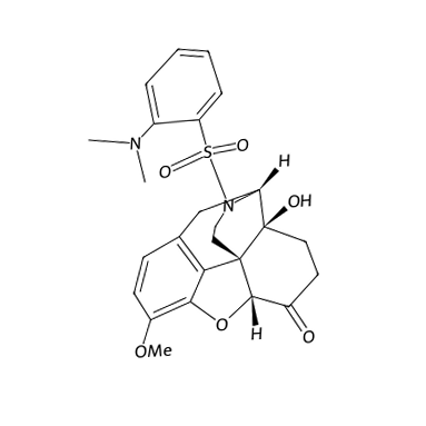 COc1ccc2c3c1O[C@H]1C(=O)CC[C@@]4(O)[C@@H](C2)N(S(=O)(=O)c2ccccc2N(C)C)CC[C@]314